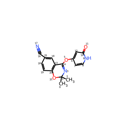 CC1(C)N=C(Oc2cc[nH]c(=O)c2)c2cc(C#N)ccc2O1